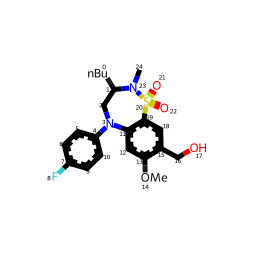 CCCCC1CN(c2ccc(F)cc2)c2cc(OC)c(CO)cc2S(=O)(=O)N1C